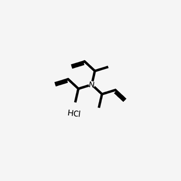 C=CC(C)N(C(C)C=C)C(C)C=C.Cl